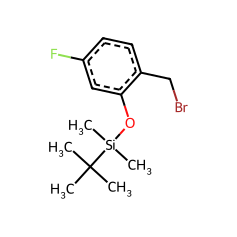 CC(C)(C)[Si](C)(C)Oc1cc(F)ccc1CBr